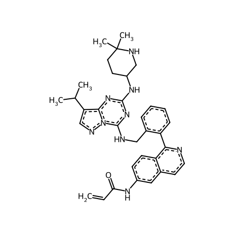 C=CC(=O)Nc1ccc2c(-c3ccccc3CNc3nc(NC4CCC(C)(C)NC4)nc4c(C(C)C)cnn34)nccc2c1